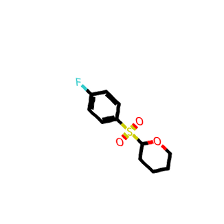 O=S(=O)(c1ccc(F)cc1)C1CCCCO1